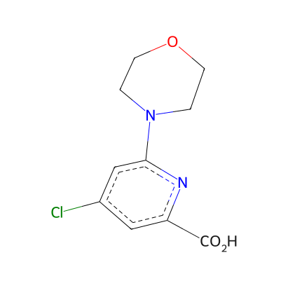 O=C(O)c1cc(Cl)cc(N2CCOCC2)n1